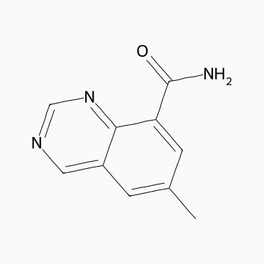 Cc1cc(C(N)=O)c2ncncc2c1